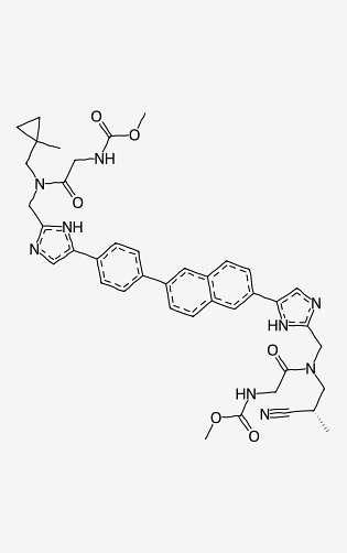 COC(=O)NCC(=O)N(Cc1ncc(-c2ccc3cc(-c4ccc(-c5cnc(CN(CC6(C)CC6)C(=O)CNC(=O)OC)[nH]5)cc4)ccc3c2)[nH]1)C[C@H](C)C#N